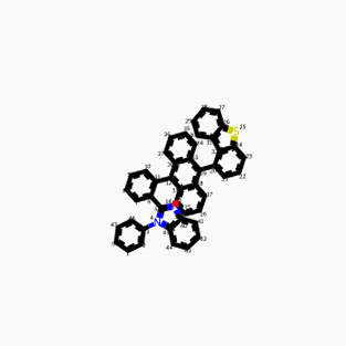 c1ccc(-n2c(-c3ccccc3-c3c4ccccc4c(-c4cccc5sc6ccccc6c45)c4ccccc34)nc3ccccc32)cc1